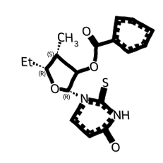 CC[C@H]1O[C@@H](n2ccc(=O)[nH]c2=S)C(OC(=O)c2ccccc2)[C@H]1C